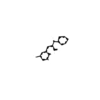 O=C(c1ccccc1)c1cc2cc(Cl)cc(Cl)c2oc1=O